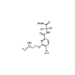 CCC(CC)(NC(=O)c1ccc(C2CC2)c(OCC[C@H](O)C(F)(F)F)n1)C(=O)NC